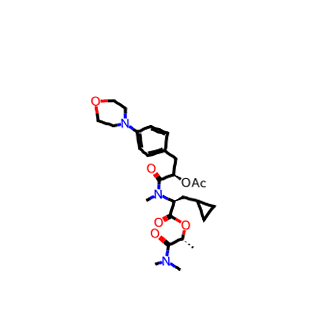 CC(=O)O[C@H](Cc1ccc(N2CCOCC2)cc1)C(=O)N(C)[C@@H](CC1CC1)C(=O)O[C@H](C)C(=O)N(C)C